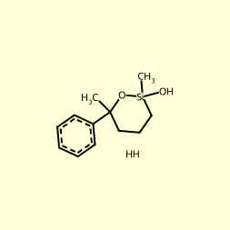 CC1(c2ccccc2)CCC[Si](C)(O)O1.[HH]